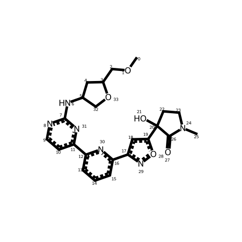 COCC1CC(Nc2nccc(-c3cccc(-c4cc(C5(O)CCN(C)C5=O)on4)n3)n2)CO1